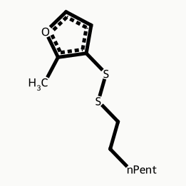 CCCCCCCSSc1ccoc1C